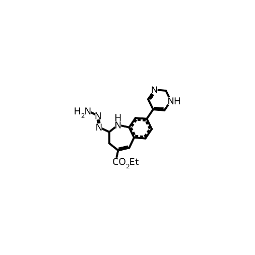 CCOC(=O)C1=Cc2ccc(C3=CNCN=C3)cc2NC(N=NN)C1